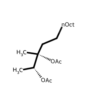 CCCCCCCCCC[C@@](C)(OC(C)=O)[C@@H](C)OC(C)=O